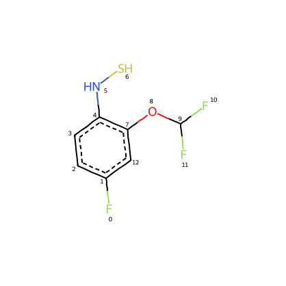 Fc1ccc(NS)c(OC(F)F)c1